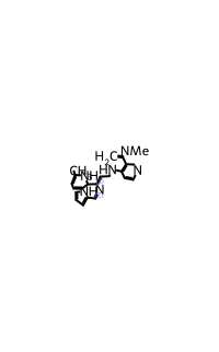 C=C(NC)c1cnccc1NC/C=C(\N=C/c1ccc[nH]1)C1C=CC=C(C)N1